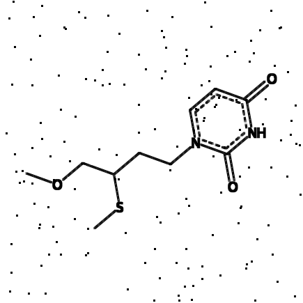 COCC(CCn1ccc(=O)[nH]c1=O)SC